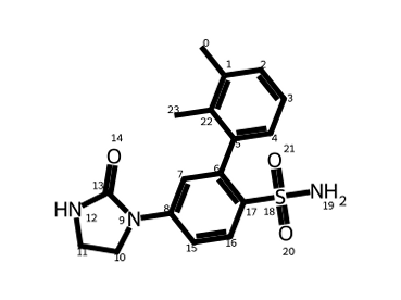 Cc1cccc(-c2cc(N3CCNC3=O)ccc2S(N)(=O)=O)c1C